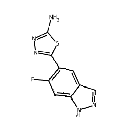 Nc1nnc(-c2cc3cn[nH]c3cc2F)s1